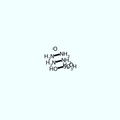 NN.NN.O.O=S(=O)(O)O.[O]